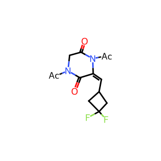 CC(=O)N1CC(=O)N(C(C)=O)C(=CC2CC(F)(F)C2)C1=O